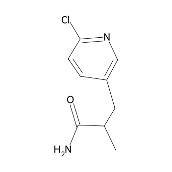 CC(Cc1ccc(Cl)nc1)C(N)=O